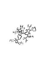 Cc1cn(C)c(-c2ccc(Nc3cc(NC(=O)C4CC4)nc4c3nc(C(F)F)n4C3CCCCO3)c(N(C)S(C)(=O)=O)c2)n1